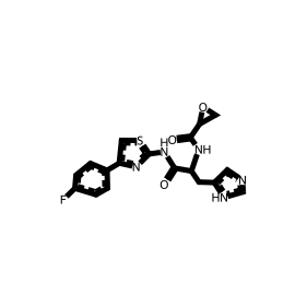 O=C(Nc1nc(-c2ccc(F)cc2)cs1)C(Cc1cnc[nH]1)NC(=O)C1CO1